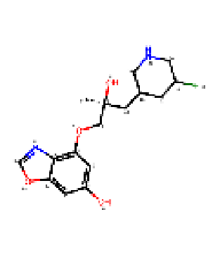 C[C@@](O)(COc1cc(O)cc2ocnc12)CC1[CH]C(F)CNC1